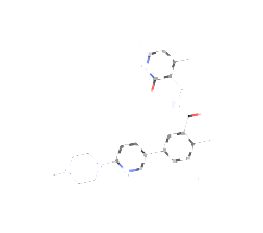 Cc1cc(C)c(CNC(=O)c2cc(-c3ccc(N4CCN(C)CC4)nc3)cc(OC(C)C)c2C)c(=O)[nH]1